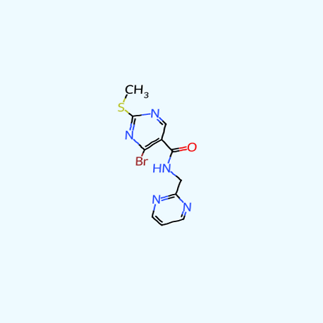 CSc1ncc(C(=O)NCc2ncccn2)c(Br)n1